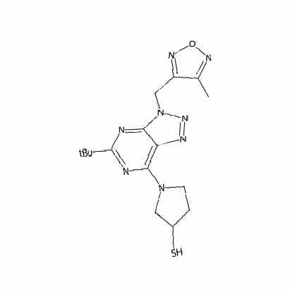 Cc1nonc1Cn1nnc2c(N3CCC(S)C3)nc(C(C)(C)C)nc21